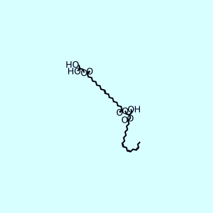 CC/C=C\C/C=C\C/C=C\CCCCCCCC(=O)OC(CO)COC(=O)CCCCCCCC=CCCCCCCCC(=O)OCC(O)CO